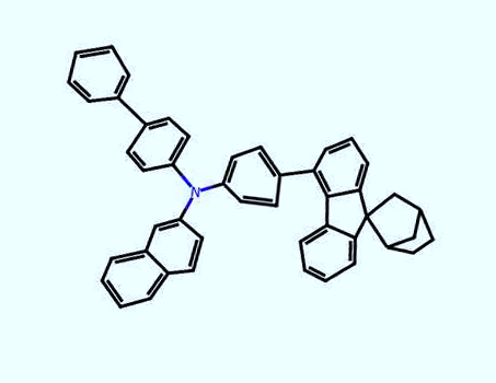 c1ccc(-c2ccc(N(c3ccc(-c4cccc5c4-c4ccccc4C54CC5CCC4C5)cc3)c3ccc4ccccc4c3)cc2)cc1